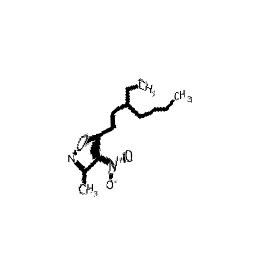 CCCCC(C=Cc1onc(C)c1[N+](=O)[O-])CC